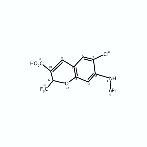 CCCNc1cc2c(cc1Cl)C=C(C(=O)O)C(C(F)(F)F)O2